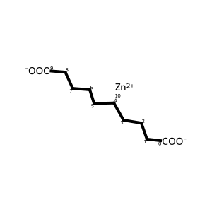 O=C([O-])CCCCCCCCC(=O)[O-].[Zn+2]